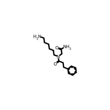 NCCCCCCN(CC(N)=O)C(=O)CCc1ccccc1